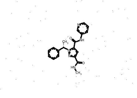 CNC(=O)c1cc(C(=O)Nc2cccnc2)n([C@@H](C)c2ccccc2)n1